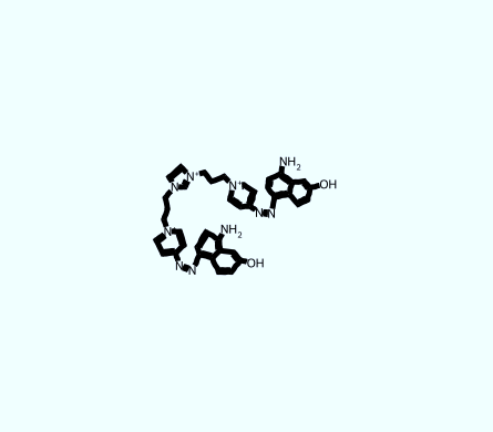 Nc1ccc(/N=N\c2cc[n+](CCCn3cc[n+](CCC[n+]4ccc(/N=N\c5ccc(N)c6cc(O)ccc56)cc4)c3)cc2)c2ccc(O)cc12